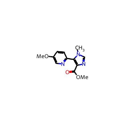 COC(=O)c1ncn(C)c1-c1ccc(OC)cn1